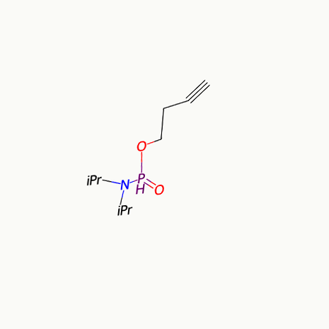 C#CCCO[PH](=O)N(C(C)C)C(C)C